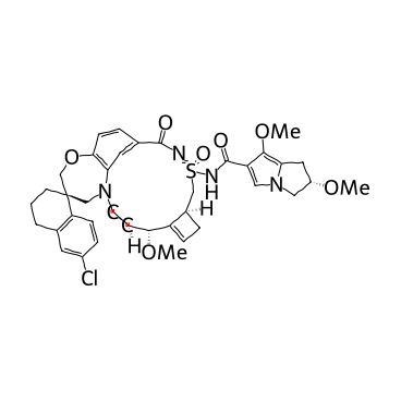 COc1c(C(=O)NS2(=O)=NC(=O)c3ccc4c(c3)N(C[C@@]3(CCCc5cc(Cl)ccc53)CO4)C3CC[C@H]3[C@@H](OC)C3=CC[C@@H]3C2)cn2c1C[C@H](OC)C2